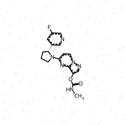 CNC(=O)Oc1cnn2ccc(N3CCC[C@@H]3c3cncc(F)c3)nc12